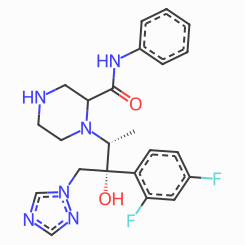 C[C@@H](N1CCNCC1C(=O)Nc1ccccc1)[C@](O)(Cn1cncn1)c1ccc(F)cc1F